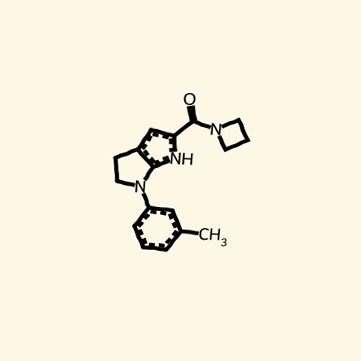 Cc1cccc(N2CCc3cc(C(=O)N4CCC4)[nH]c32)c1